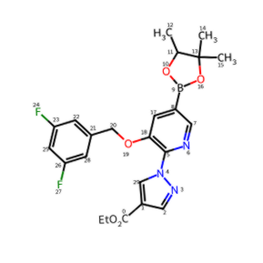 CCOC(=O)c1cnn(-c2ncc(B3OC(C)C(C)(C)O3)cc2OCc2cc(F)cc(F)c2)c1